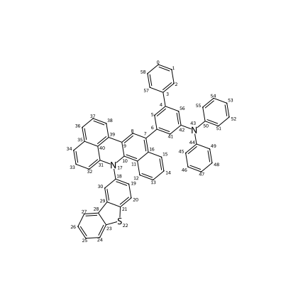 c1ccc(-c2cc(-c3cc4c(c5ccccc35)N(c3ccc5sc6ccccc6c5c3)c3cccc5cccc-4c35)cc(N(c3ccccc3)c3ccccc3)c2)cc1